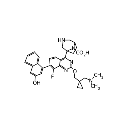 CN(C)CC1(COc2nc(C34CCC(CNC3)N4C(=O)O)c3ccc(-c4cc(O)cc5ccccc45)c(F)c3n2)CC1